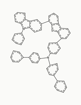 c1ccc(-c2ccc(N(c3ccc(-c4ccccc4)cc3)c3ccc(-c4cccc5c4sc4c(-c6ccc7c(c6)c6ccccc6n7-c6ccccc6)cccc45)cc3)cc2)cc1